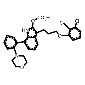 O=C(O)Oc1[nH]c2c(-c3ccccc3N3CCOCC3)cccc2c1CCCOc1cccc(Cl)c1Cl